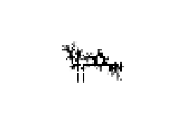 C=C(Nc1cc2cc(-c3cnn(C)c3)ccc2cn1)N1CCN(C)C(C)C1